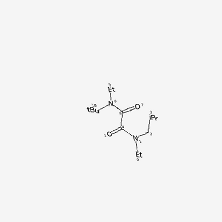 CCN(CC(C)C)C(=O)C(=O)N(CC)C(C)(C)C